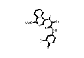 CCN(C(=O)NC1=CC(Cl)C(=O)C=C1)C(C)c1cnc(OC)c2ccccc12